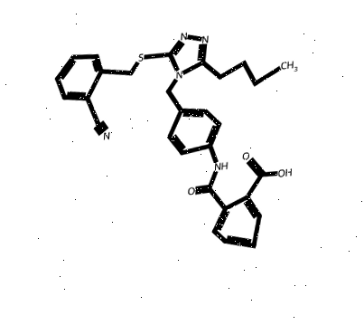 CCCCc1nnc(SCc2ccccc2C#N)n1Cc1ccc(NC(=O)c2ccccc2C(=O)O)cc1